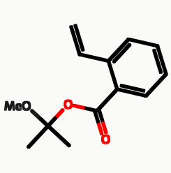 C=Cc1ccccc1C(=O)OC(C)(C)OC